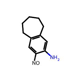 Nc1cc2c(cc1N=O)CCCCC2